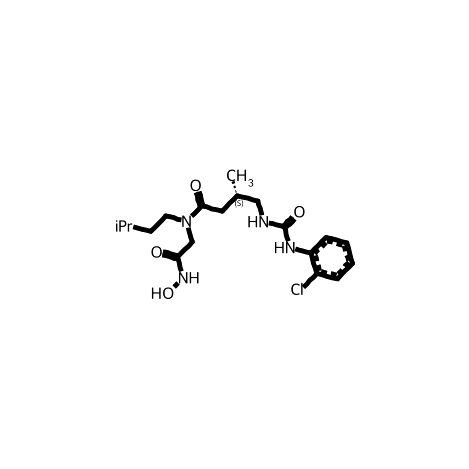 CC(C)CCN(CC(=O)NO)C(=O)C[C@H](C)CNC(=O)Nc1ccccc1Cl